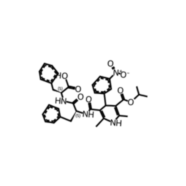 CC1=C(C(=O)N[C@@H](Cc2ccccc2)C(=O)N[C@@H](Cc2ccccc2)C(=O)O)C(c2cccc([N+](=O)[O-])c2)C(C(=O)OC(C)C)=C(C)N1